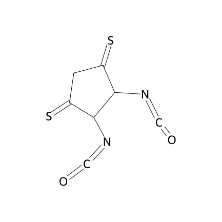 O=C=NC1C(=S)CC(=S)C1N=C=O